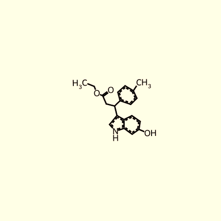 CCOC(=O)CC(c1ccc(C)cc1)c1c[nH]c2cc(O)ccc12